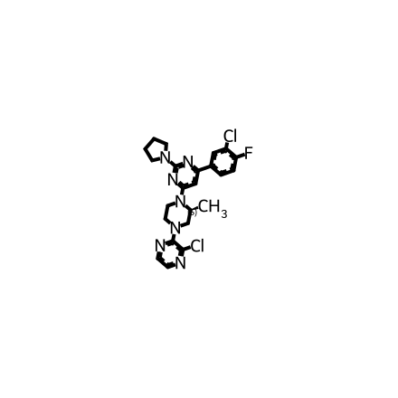 C[C@H]1CN(c2nccnc2Cl)CCN1c1cc(-c2ccc(F)c(Cl)c2)nc(N2CCCC2)n1